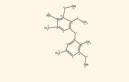 CCc1c(Cc2cc(C)cc(CO)c2C)cc(C)c(O)c1CO